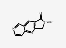 O=C1c2cc3cnccc3nc2C[S+]1[O-]